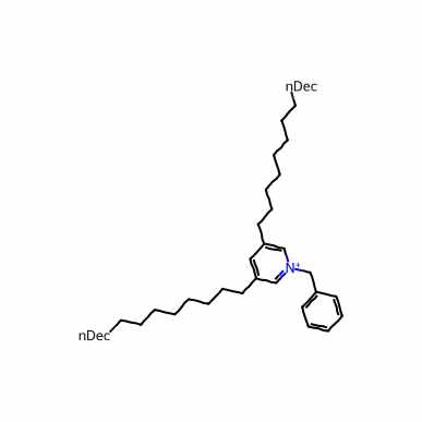 CCCCCCCCCCCCCCCCCCc1cc(CCCCCCCCCCCCCCCCCC)c[n+](Cc2ccccc2)c1